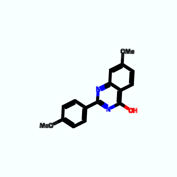 COc1ccc(-c2nc(O)c3ccc(OC)cc3n2)cc1